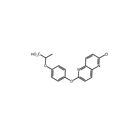 CC(Oc1ccc(Oc2ccc3nc(Cl)ccc3n2)cc1)C(=O)O